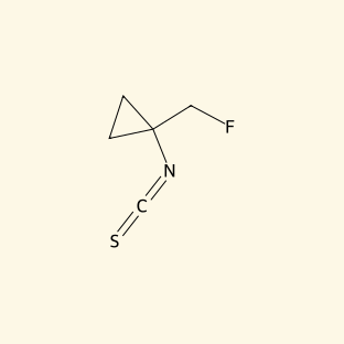 FCC1(N=C=S)CC1